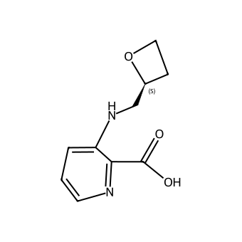 O=C(O)c1ncccc1NC[C@@H]1CCO1